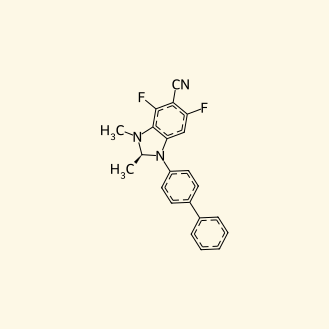 C[C@H]1N(C)c2c(cc(F)c(C#N)c2F)N1c1ccc(-c2ccccc2)cc1